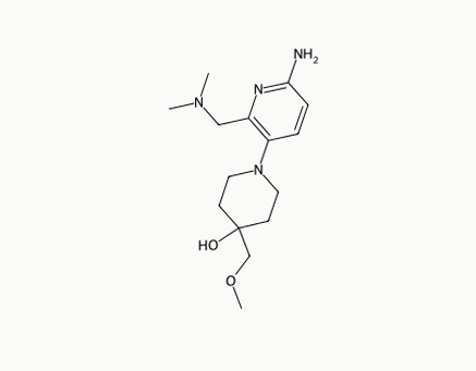 COCC1(O)CCN(c2ccc(N)nc2CN(C)C)CC1